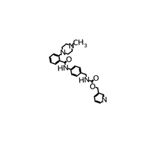 CN1CCN(c2ccccc2C(=O)Nc2ccc(CNC(=O)OCc3cccnc3)cc2)CC1